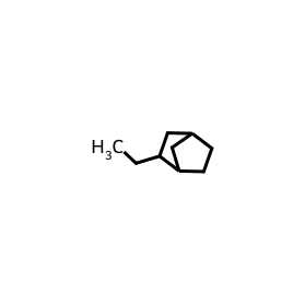 CCC1CC2CCC1C2